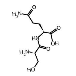 NC(=O)CC[C@H](NC(=O)[C@@H](N)CO)C(=O)O